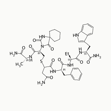 CC[C@H](NC(=O)[C@@H](Cc1ccccc1)NC(=O)C(CC(N)=O)SC[C@@H](C(=O)N[C@H](C)C(N)=O)N1C(=O)NC2(CCCCC2)C1=O)C(=O)N[C@@H](Cc1c[nH]c2ccccc12)C(N)=O